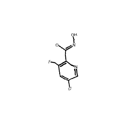 ON=C(Cl)c1ncc(Cl)cc1F